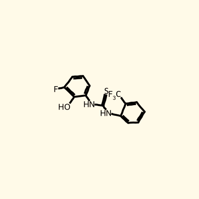 Oc1c(F)cccc1NC(=S)Nc1ccccc1C(F)(F)F